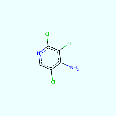 Nc1c(Cl)[c]nc(Cl)c1Cl